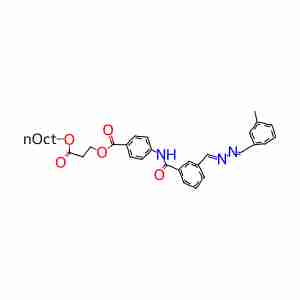 CCCCCCCCOC(=O)CCOC(=O)c1ccc(NC(=O)c2cccc(C=NN=Cc3cccc(C)c3)c2)cc1